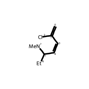 C=C(Cl)/C=C\C(CC)NC